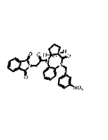 O=C1c2ccccc2C(=O)N1CC(=O)N1c2ccccc2N(Cc2cccc([N+](=O)[O-])c2)C(=O)[C@H]2CCC[C@H]21